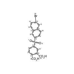 O=C(O)c1ccc(S(=O)(=O)c2ccc3cc(Br)ccc3c2)cc1C(=O)O